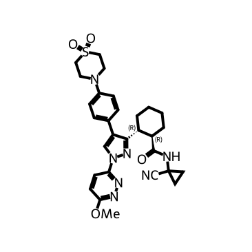 COc1ccc(-n2cc(-c3ccc(N4CCS(=O)(=O)CC4)cc3)c([C@@H]3CCCC[C@H]3C(=O)NC3(C#N)CC3)n2)nn1